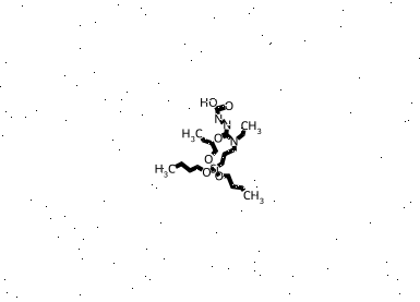 CCCCO[Si](CCCN(CC)C(=O)N=NC(=O)O)(OCCCC)OCCCC